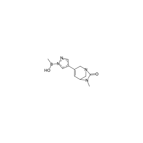 CB(O)n1cc(C2=CC3CN(C2)C(=O)N3C)cn1